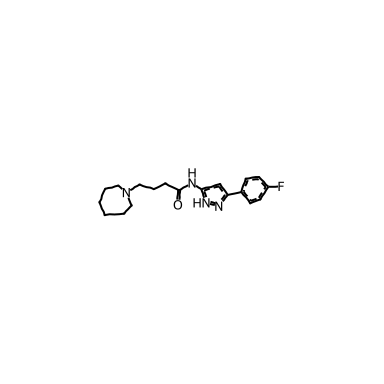 O=C(CCCN1CCCCCC1)Nc1cc(-c2ccc(F)cc2)n[nH]1